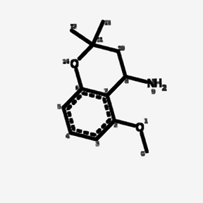 COc1cccc2c1C(N)CC(C)(C)O2